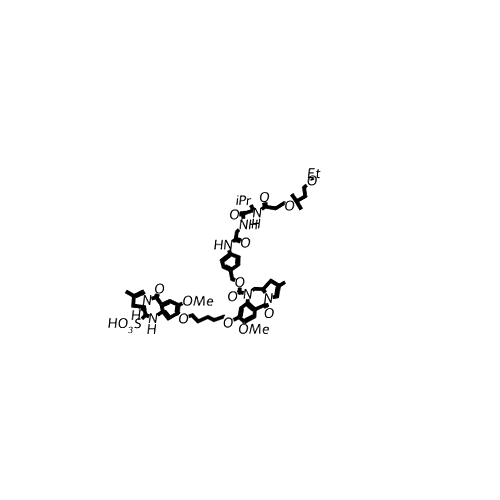 CCOCCC(C)(C)OCCC(=O)NC(C(=O)NCC(=O)Nc1ccc(COC(=O)N2CC3CC(C)=CN3C(=O)c3cc(OC)c(OCCCCCOc4cc5c(cc4OC)C(=O)N4C=C(C)C[C@H]4C(S(=O)(=O)O)N5)cc32)cc1)C(C)C